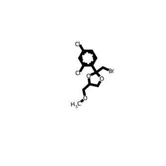 COCC1COC(CBr)(c2ccc(Cl)cc2Cl)O1